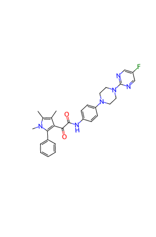 Cc1c(C(=O)C(=O)Nc2ccc(N3CCN(c4ncc(F)cn4)CC3)cc2)c(-c2ccccc2)n(C)c1C